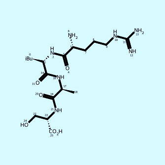 CC[C@H](C)[C@H](NC(=O)[C@H](N)CCCNC(=N)N)C(=O)N[C@@H](C)C(=O)N[C@@H](CO)C(=O)O